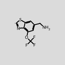 NCc1cc(OC(F)(F)F)c2n[c]sc2c1